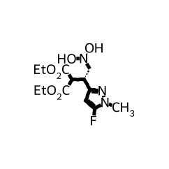 CCOC(=O)C(C(=O)OCC)[C@H](CN(O)O)c1cc(F)n(C)n1